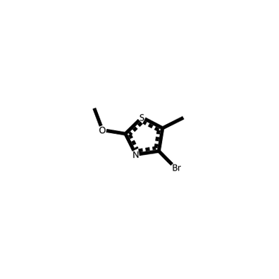 COc1nc(Br)c(C)s1